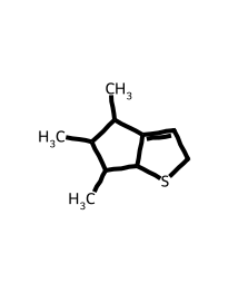 CC1C2=CCSC2C(C)C1C